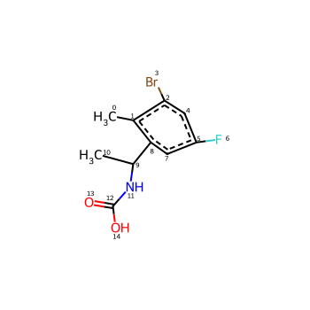 Cc1c(Br)cc(F)cc1C(C)NC(=O)O